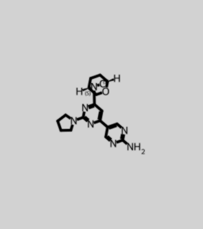 Nc1ncc(-c2cc(N3C[C@@H]4CC[C@H]3CO4)nc(N3CCCC3)n2)cn1